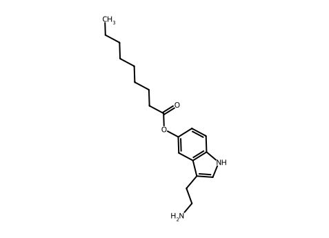 CCCCCCCCC(=O)Oc1ccc2[nH]cc(CCN)c2c1